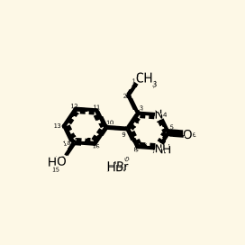 Br.CCc1nc(=O)[nH]cc1-c1cccc(O)c1